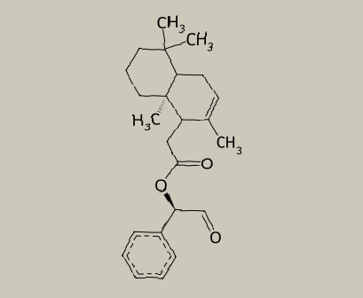 CC1=CCC2C(C)(C)CCC[C@]2(C)C1CC(=O)O[C@@H](C=O)c1ccccc1